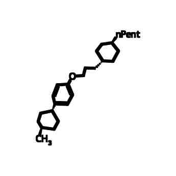 CCCCC[C@H]1CC[C@H](CCCOc2ccc([C@H]3CC[C@H](C)CC3)cc2)CC1